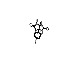 CC12NC(=O)NC1(c1ccc(I)cc1)NC(=O)N2